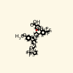 CC[C@H]1CN(C(=O)[C@]2(F)CN(CC(=O)N3CCC[C@@H]3C(F)(F)F)C[C@H]2c2ccc(OC)cc2)C[C@@H]1c1ccc(C(F)(F)F)cc1N1CCC(C(=O)O)CC1